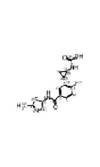 Cc1nnc(NC(=O)c2ccc(F)c([C@@H]3C[C@H]3NC(=O)O)c2)s1